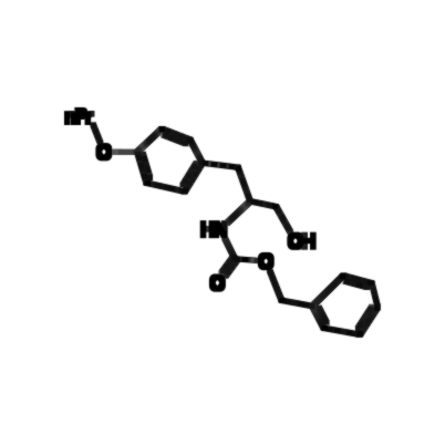 CCCOc1ccc(CC(CO)NC(=O)OCc2ccccc2)cc1